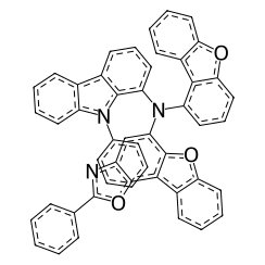 c1ccc(-c2nc3cc(N(c4cccc5oc6ccccc6c45)c4cccc5c6ccccc6n(-c6ccccc6)c45)c4oc5ccccc5c4c3o2)cc1